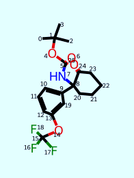 CC(C)(C)OC(=O)NC1(c2cccc(OC(F)(F)F)c2)CCCCC1=O